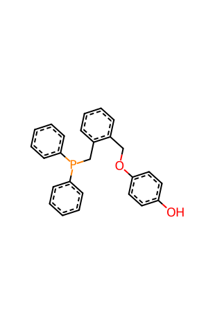 Oc1ccc(OCc2ccccc2CP(c2ccccc2)c2ccccc2)cc1